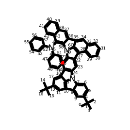 CC(C)(C)c1ccc2c(c1)c1cc(C(C)(C)C)cc3c4cc5c(cc4n2c13)c1c2ccccc2cc2c3cc4ccccc4c(N(c4ccccc4)c4ccccc4)c3n5c21